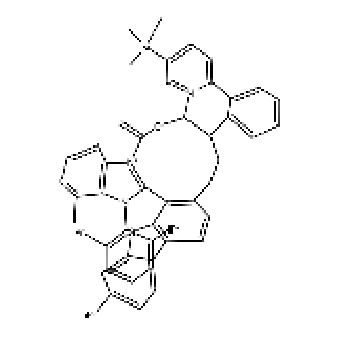 C=C1CC2C(CCc3ccc4c(oc5cc(C(C)C)ccc54)c3-c3n(-c4c(C(C)C)cccc4C(C)C)c4c(C)nccc4[n+]31)c1ccccc1-c1ccc([Si](C)(C)C)c[n+]12